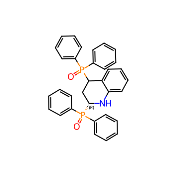 O=P(c1ccccc1)(c1ccccc1)C1C[C@@H](P(=O)(c2ccccc2)c2ccccc2)Nc2ccccc21